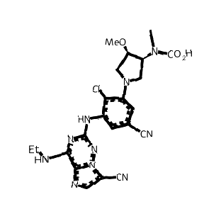 CCNc1nc(Nc2cc(C#N)cc(N3C[C@@H](OC)[C@@H](N(C)C(=O)O)C3)c2Cl)nn2c(C#N)cnc12